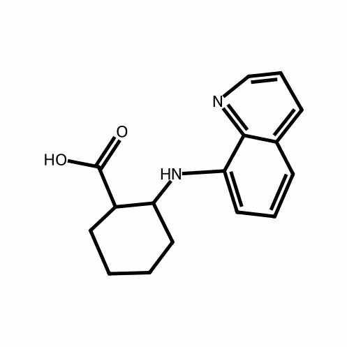 O=C(O)C1CCCCC1Nc1cccc2cccnc12